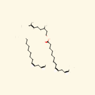 CCCCC/C=C\C/C=C\CCCCCCCC(=O)O.CCCCC/C=C\C/C=C\CCCCCCCC(=O)OCCC(C)CCC=C(C)C